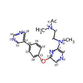 CC(=O)N(C)CCN(C)c1cncc(Oc2ccc(-c3cncnc3)cc2)n1